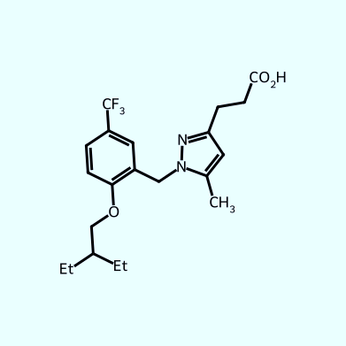 CCC(CC)COc1ccc(C(F)(F)F)cc1Cn1nc(CCC(=O)O)cc1C